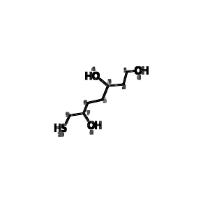 OCCC(O)CCC(O)CS